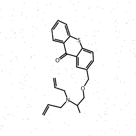 C=CCN(CC=C)C(C)COCc1ccc2sc3ccccc3c(=O)c2c1